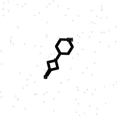 O=C1CN(C2CCNCC2)C1